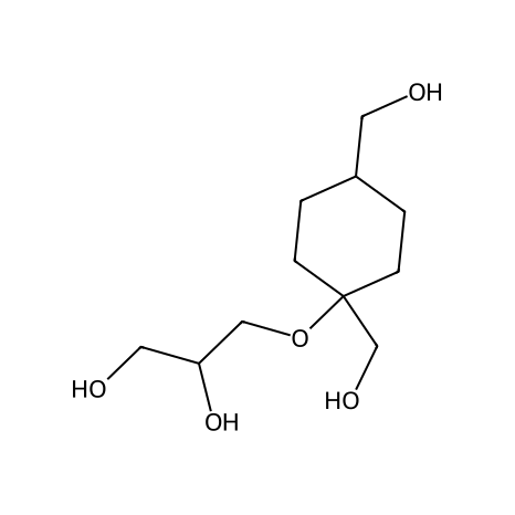 OCC(O)COC1(CO)CCC(CO)CC1